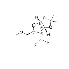 COC[C@H]1O[C@@H]2OC(C)(C)O[C@@H]2[C@@H]1C(F)F